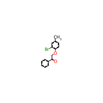 Cc1ccc(OCC(=O)c2ccccc2)c(Br)c1